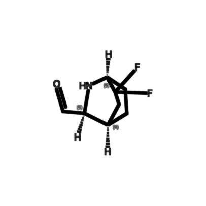 O=C[C@H]1N[C@H]2CC[C@@H]1CC2(F)F